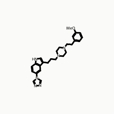 COc1cccc(CCN2CCN(CCCc3c[nH]c4ccc(-n5cnnc5)cc34)CC2)c1